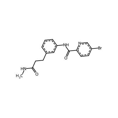 CNC(=O)CCc1cccc(NC(=O)c2ccc(Br)cn2)c1